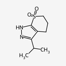 CC(C)c1n[nH]c2c1CCCS2(=O)=O